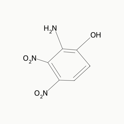 Nc1c(O)ccc([N+](=O)[O-])c1[N+](=O)[O-]